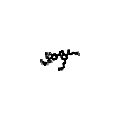 Cc1cc(-c2cnc3c(NCCC(F)(F)F)cc(C=CCO)cn23)ccc1C(=O)N[C@@H]1C[C@H]1F